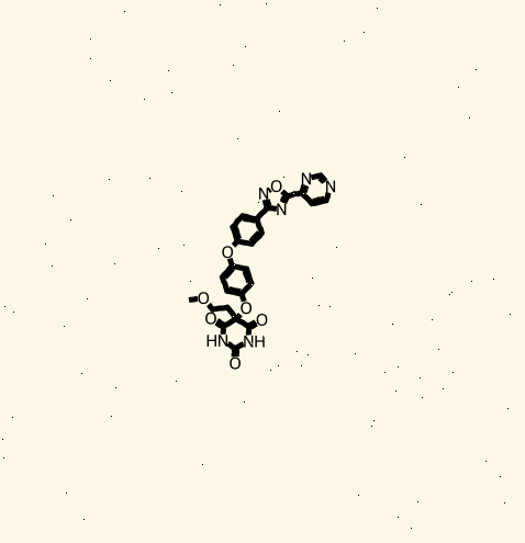 COCCC1(Oc2ccc(Oc3ccc(-c4noc(-c5ccncn5)n4)cc3)cc2)C(=O)NC(=O)NC1=O